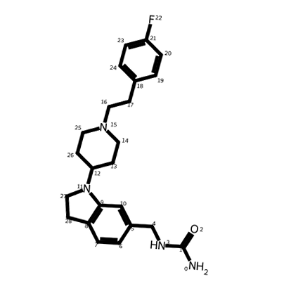 NC(=O)NCc1ccc2c(c1)N(C1CCN(CCc3ccc(F)cc3)CC1)CC2